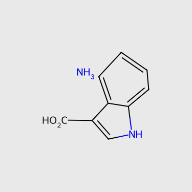 N.O=C(O)c1c[nH]c2ccccc12